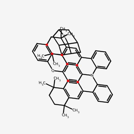 CC1(C)CCC(C)(C)c2cc(-c3ccccc3N(c3ccc4c(c3)C3(c5ccccc5O4)C4CC5CC6CC3C64C5)c3ccccc3-c3ccc4c(c3)C(C)(C)CCC4(C)C)ccc21